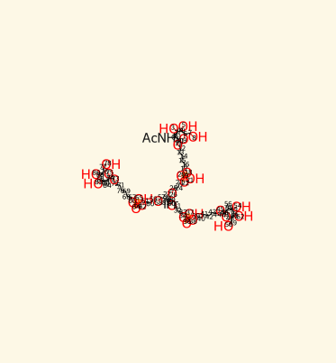 CC(=O)N[C@H]1C(O)[C@@H](O)C(CO)O[C@H]1OCCCCCCOP(=O)(O)OCCCOCC(COCCCOP(=O)(O)OCCCCCCO[C@@H]1OC(CO)[C@H](O)C(O)[C@@H]1C)(COCCCOP(=O)(O)OCCCCCCO[C@@H]1OC(CO)[C@H](O)C(O)[C@@H]1C)C(C)C